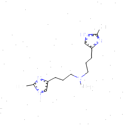 CCCCCCCN(CCCc1c[nH]c(C)n1)CCCc1c[nH]c(C)n1